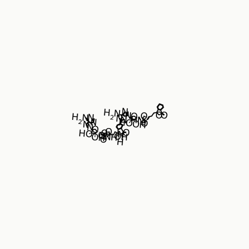 Nc1ncnc2c1ncn2[C@@H]1O[C@H](COS(=O)(=O)NC(=O)CCC2(O)NC(=O)c3cc(-c4nc(N)c5ncn([C@@H]6O[C@H](CNS(=O)(=O)/C=C/CCC7OC(=O)c8ccccc87)[C@@H](O)[C@H]6O)c5n4)ccc32)[C@@H](O)[C@H]1O